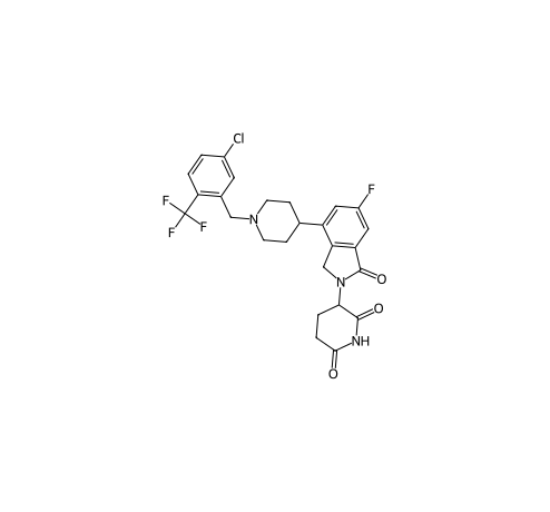 O=C1CCC(N2Cc3c(cc(F)cc3C3CCN(Cc4cc(Cl)ccc4C(F)(F)F)CC3)C2=O)C(=O)N1